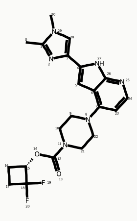 Cc1nc(-c2cc3c(N4CCN(C(=O)O[C@H]5CCC5(F)F)CC4)ccnc3[nH]2)cn1C